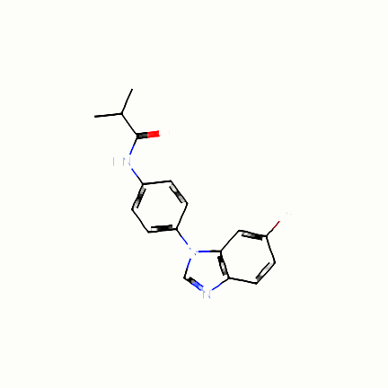 CC(C)C(=O)Nc1ccc(-n2cnc3ccc(Br)cc32)cc1